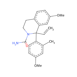 C=CC1(c2ccc(OC)cc2C)c2cc(OC)ccc2CCN1C(N)=O